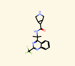 CC(C)(NC(=O)C1C2CNCC21)c1nc(C(F)(F)F)nc2ccccc12